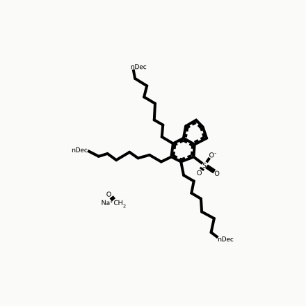 C=O.CCCCCCCCCCCCCCCCCc1c(CCCCCCCCCCCCCCCCC)c(S(=O)(=O)[O-])c2ccccc2c1CCCCCCCCCCCCCCCCC.[Na+]